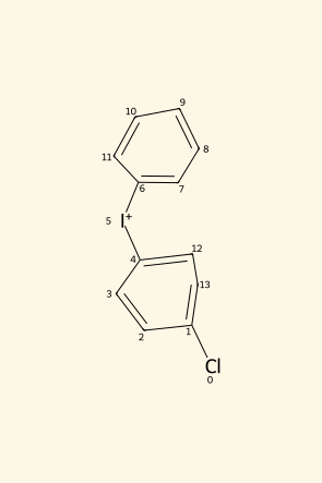 Clc1ccc([I+]c2ccccc2)cc1